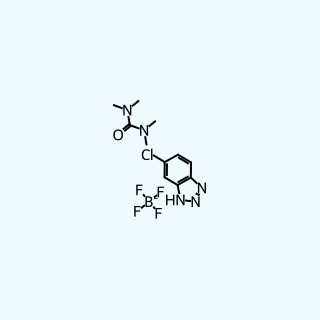 CN(C)C(=O)N(C)C.Clc1ccc2nn[nH]c2c1.F[B-](F)(F)F